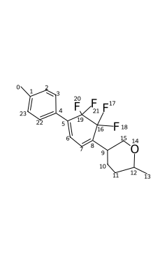 Cc1ccc(C2=CC=C(C3CCC(C)OC3)C(F)(F)C2(F)F)cc1